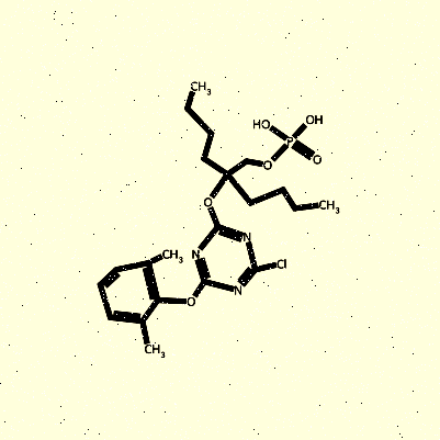 CCCCC(CCCC)(COP(=O)(O)O)Oc1nc(Cl)nc(Oc2c(C)cccc2C)n1